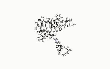 C=CCOc1cc(C(=O)C(=O)N2CCCCC2C(=O)NC(CCc2ccccc2)C(=O)NC(C)C(=O)NC(C(=O)NC(Cc2ccccc2)C(=O)N(C)CC(=O)NC/C=C/CC(=O)OC2(C)CCCCCCC2)C(C)C)ccc1OC